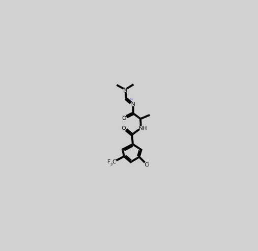 CC(NC(=O)c1cc(Cl)cc(C(F)(F)F)c1)C(=O)/N=C/N(C)C